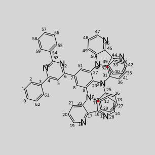 c1ccc(-c2cc(-c3cc(-n4c5cccnc5c5ncccc54)c(N(c4ccccc4)c4ccccc4)c(-n4c5cccnc5c5ncccc54)c3)nc(-c3ccccc3)n2)cc1